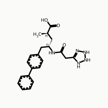 C[C@H](C[C@@H](Cc1ccc(-c2ccccc2)cc1)NC(=O)CC1=NNNN1)C(=O)O